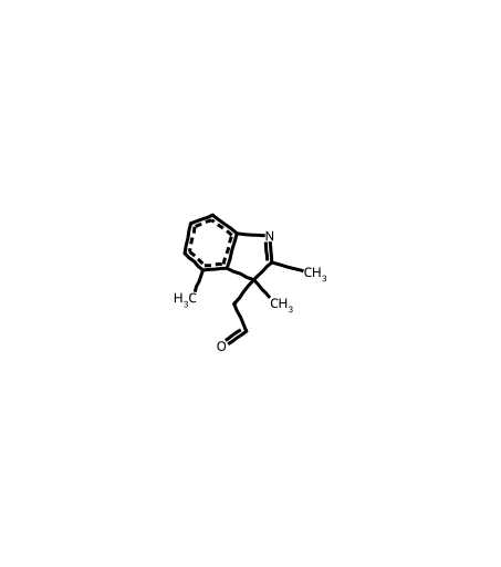 CC1=Nc2cccc(C)c2C1(C)CC=O